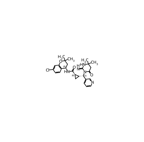 CC1(C)CC(=O)N([C@H](c2cccnc2)C2C[C@H]2C(=O)N[C@@H]2CC(C)(C)Oc3cc(Cl)ccc32)C(=N)N1